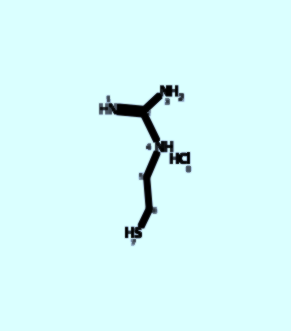 Cl.N=C(N)NCCS